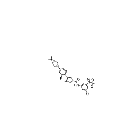 Cn1cc(C(=O)Nc2cc(Cl)cc(NS(C)(=O)=O)c2)cc1-c1ncc(N2CC3C(C2)C3(C)C)cc1F